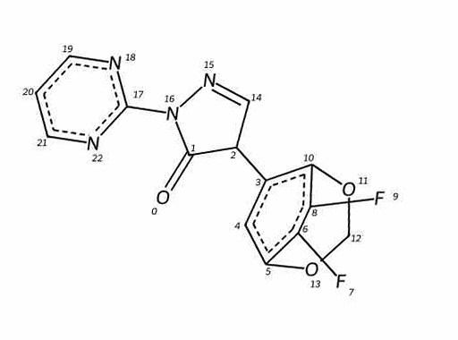 O=C1C(c2cc3c(F)c(F)c2OCO3)C=NN1c1ncccn1